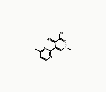 CN/C=C(\C(=N)C(=O)O)c1nccc(C)n1